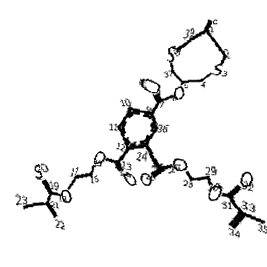 C=C1CSCC(OC(=O)c2ccc(C(=O)OCCOC(=S)C(=C)C)c(C(=O)OCCOC(=O)C(=C)C)c2)CSC1